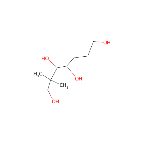 CC(C)(CO)C(O)C(O)CCCO